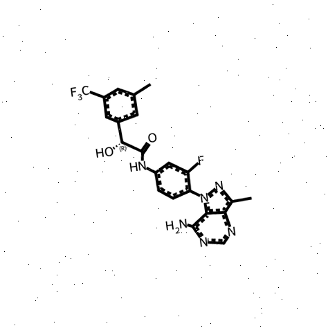 Cc1cc([C@@H](O)C(=O)Nc2ccc(-n3nc(C)c4ncnc(N)c43)c(F)c2)cc(C(F)(F)F)c1